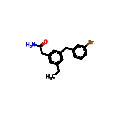 CCc1cc(CC(N)=O)cc(Cc2cccc(Br)c2)c1